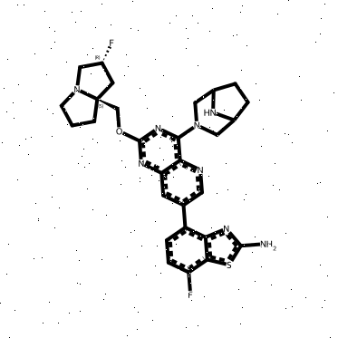 Nc1nc2c(-c3cnc4c(N5CC6CCC(C5)N6)nc(OC[C@@]56CCCN5C[C@H](F)C6)nc4c3)ccc(F)c2s1